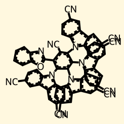 N#Cc1ccc2c(c1)c1cc(C#N)ccc1n2-c1c(C#N)c(-c2nc3ccccc3o2)c(-n2c3ccc(C#N)cc3c3cc(C#N)ccc32)c(-n2c3ccc(C#N)cc3c3cc(C#N)ccc32)c1-n1c2ccc(C#N)cc2c2cc(C#N)ccc21